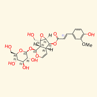 COc1cc(/C=C/C(=O)O[C@H]2[C@@H]3C=CO[C@@H](O[C@@H]4O[C@H](CO)[C@@H](O)[C@H](O)[C@H]4O)[C@@H]3[C@@]3(CO)O[C@@H]23)ccc1O